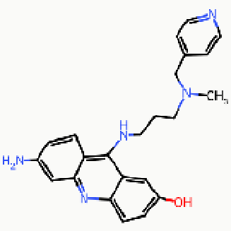 CN(CCCNc1c2ccc(N)cc2nc2ccc(O)cc12)Cc1ccncc1